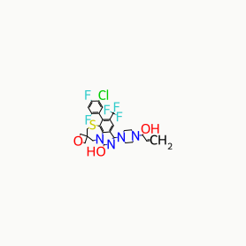 C=CC(O)N1CCN(C2=NC(O)N3CC4(COC4)CSc4c(-c5cc(Cl)c(F)cc5F)c(C(F)(F)F)cc2c43)CC1